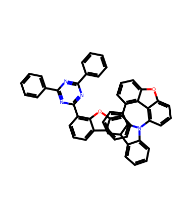 C1=CC2c3ccccc3N(c3cccc4oc5cccc(-c6cccc7c6oc6c(-c8nc(-c9ccccc9)nc(-c9ccccc9)n8)cccc67)c5c34)C2C=C1